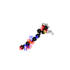 COc1cccc(OC)c1C(=O)c1sccc1-c1ccccc1C=C1CCN(c2ccc(C(=O)NS(=O)(=O)c3ccc(NCC4CCOCC4)c([N+](=O)[O-])c3)cc2)CC1